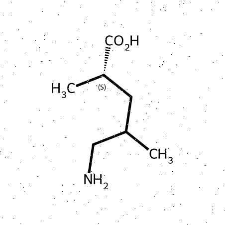 CC(CN)C[C@H](C)C(=O)O